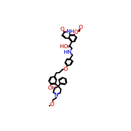 COCCN1CCC(c2ccccc2)(c2cc(CCCOc3ccc(CNC[C@H](O)c4ccc(OC=O)c5[nH]c(=O)ccc45)cc3)ccc2O)CC1